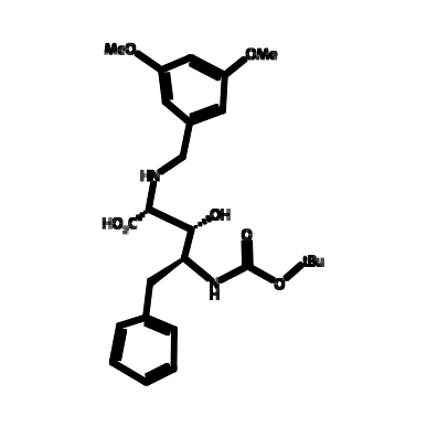 COc1cc(CN[C@@H](C(=O)O)[C@H](O)[C@H](Cc2ccccc2)NC(=O)OC(C)(C)C)cc(OC)c1